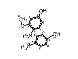 COc1cc(O)ccc1N.Nc1ccc(O)cc1